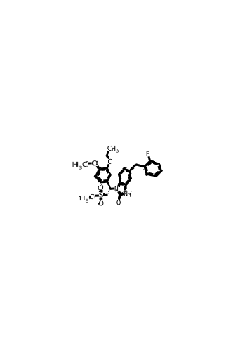 CCOc1cc([C@@H](CS(C)(=O)=O)n2c(=O)[nH]c3cc(Cc4ccccc4F)ccc32)ccc1OC